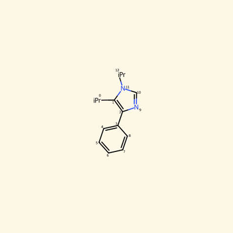 CC(C)c1c(-c2ccccc2)ncn1C(C)C